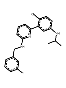 CC(C)Nc1cc(-c2cccc(NCc3cccc(F)c3)n2)c(Cl)cn1